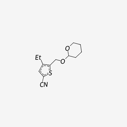 CCc1cc(C#N)sc1COC1CCCCO1